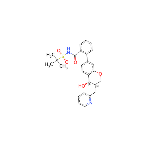 CC(C)(C)S(=O)(=O)NC(=O)c1ccccc1-c1ccc2c(c1)OC[C@H](Cc1ccccn1)[C@H]2O